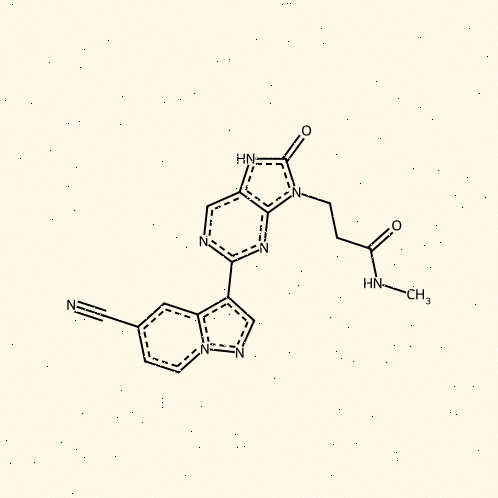 CNC(=O)CCn1c(=O)[nH]c2cnc(-c3cnn4ccc(C#N)cc34)nc21